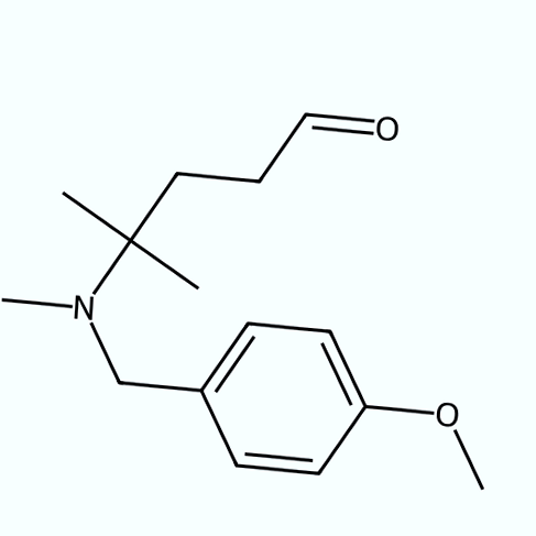 COc1ccc(CN(C)C(C)(C)CCC=O)cc1